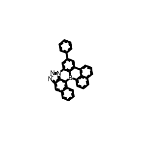 c1ccc(-c2cc3c4c(c2)-n2nnc5cc6ccccc6c(c52)B4c2cccc4cccc-3c24)cc1